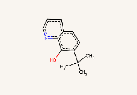 CC(C)(C)c1ccc2cccnc2c1O